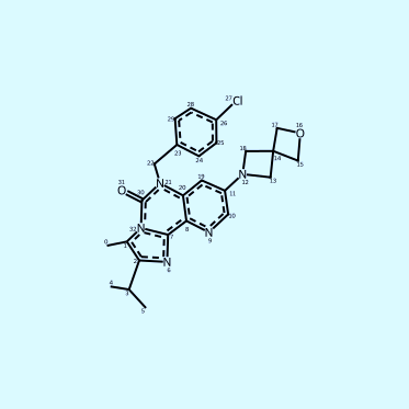 Cc1c(C(C)C)nc2c3ncc(N4CC5(COC5)C4)cc3n(Cc3ccc(Cl)cc3)c(=O)n12